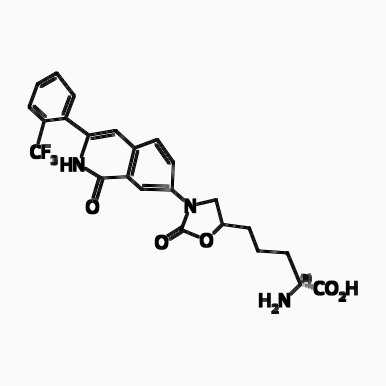 N[C@H](CCCC1CN(c2ccc3cc(-c4ccccc4C(F)(F)F)[nH]c(=O)c3c2)C(=O)O1)C(=O)O